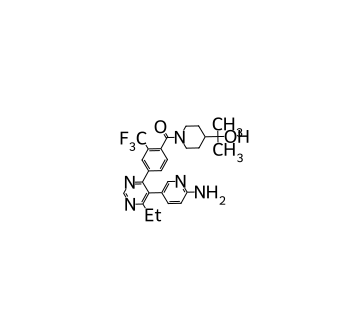 CCc1ncnc(-c2ccc(C(=O)N3CCC(C(C)(C)O)CC3)c(C(F)(F)F)c2)c1-c1ccc(N)nc1